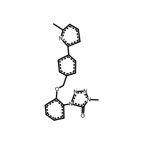 Cc1cccc(-c2ccc(COc3ccccc3-n3nnn(C)c3=O)cc2)n1